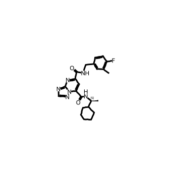 Cc1cc(CNC(=O)c2cc(C(=O)N[C@@H](C)C3CCCCC3)n3ncnc3n2)ccc1F